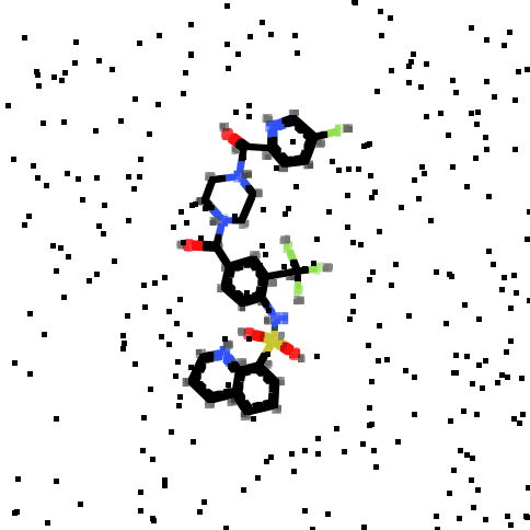 O=C(c1ccc(NS(=O)(=O)c2cccc3cccnc23)c(C(F)(F)F)c1)N1CCN(C(=O)c2ccc(F)cn2)CC1